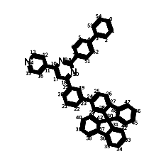 c1ccc(-c2ccc(-c3nc(-c4ccncc4)cc(-c4cccc(-c5ccc6c(c5)C5(c7ccccc7-c7ccccc75)c5ccccc5-6)c4)n3)cc2)cc1